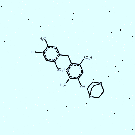 C1CN2CCN1CC2.Cc1cc(Cc2cc(C)c(O)cc2S(=O)(=O)O)c(S(=O)(=O)O)cc1O